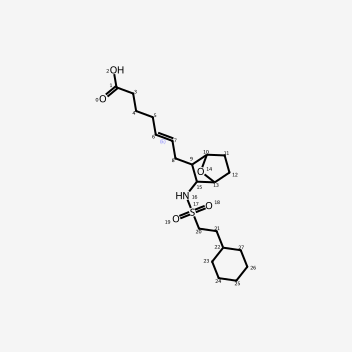 O=C(O)CCC/C=C/CC1C2CCC(O2)C1NS(=O)(=O)CCC1CCCCC1